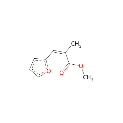 COC(=O)C(C)=Cc1ccco1